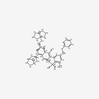 Fc1c(-c2cc(OCc3ccccc3)cc(Cl)c2C(F)(F)F)ncc2c(N3CC4CCC(C3)O4)nc(OCC34CCCN3CCC4)nc12